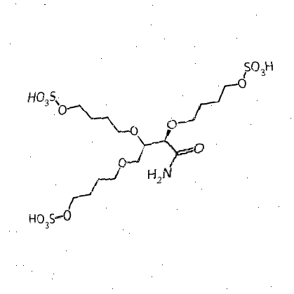 NC(=O)[C@H](OCCCCOS(=O)(=O)O)[C@@H](COCCCCOS(=O)(=O)O)OCCCCOS(=O)(=O)O